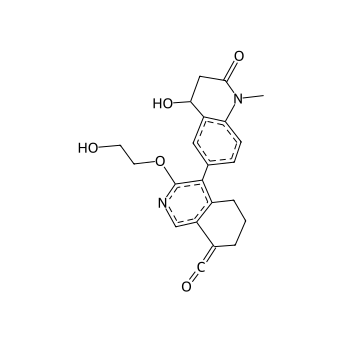 CN1C(=O)CC(O)c2cc(-c3c(OCCO)ncc4c3CCCC4=C=O)ccc21